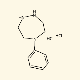 Cl.Cl.c1ccc(N2CCNNCC2)cc1